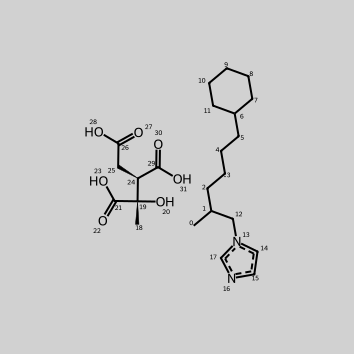 CC(C[CH]CCC1CCCCC1)Cn1ccnc1.C[C@@](O)(C(=O)O)[C@@H](CC(=O)O)C(=O)O